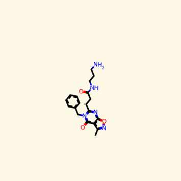 Cc1noc2nc([CH]CC(=O)NCCCN)n(Cc3ccccc3)c(=O)c12